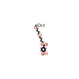 CCCCCCCCOCCCCOCCCCOC(=O)c1ccc(O)cc1